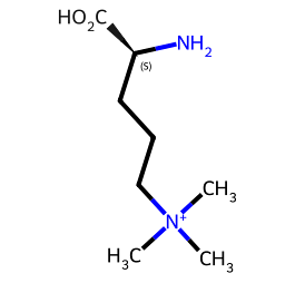 C[N+](C)(C)CCC[C@H](N)C(=O)O